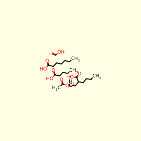 CC(=O)O.CCCCC(=O)O.CCCCC(CC)C(=O)O.CCCCCCC(=O)O.O=CO